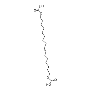 O=C(O)OCCCCCCC=CCCCCCCCCOC(=O)O